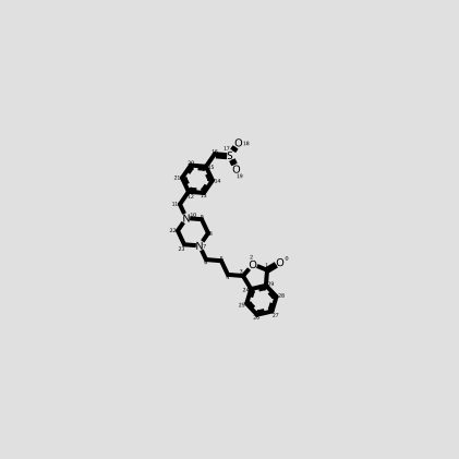 O=C1OC(CCCN2CCN(Cc3ccc(C=S(=O)=O)cc3)CC2)c2ccccc21